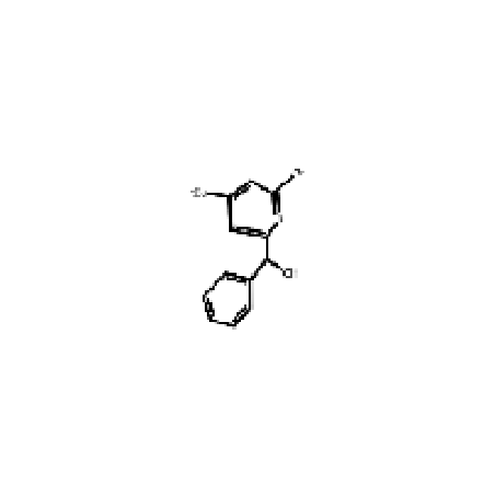 CC(C)(C)c1cc(Br)nc(C(O)c2ccccc2)c1